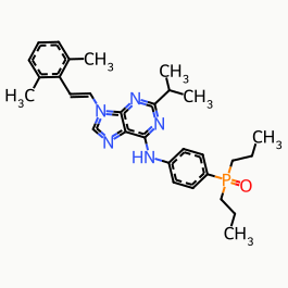 CCCP(=O)(CCC)c1ccc(Nc2nc(C(C)C)nc3c2ncn3/C=C/c2c(C)cccc2C)cc1